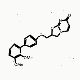 COc1cccc(-c2ccc(OCC3Cn4ccc(=O)nc4O3)cc2)c1OC